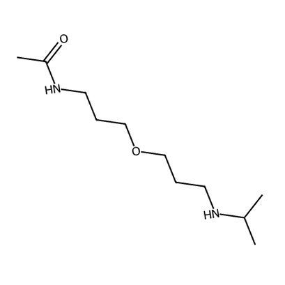 CC(=O)NCCCOCCCNC(C)C